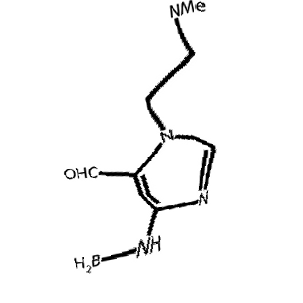 BNc1ncn(CCNC)c1C=O